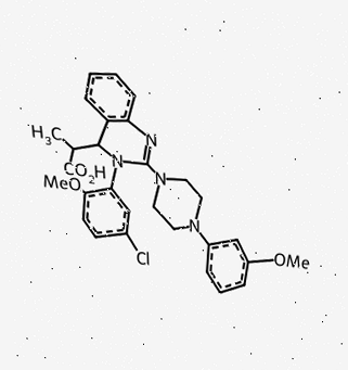 COc1cccc(N2CCN(C3=Nc4ccccc4C(C(C)C(=O)O)N3c3cc(Cl)ccc3OC)CC2)c1